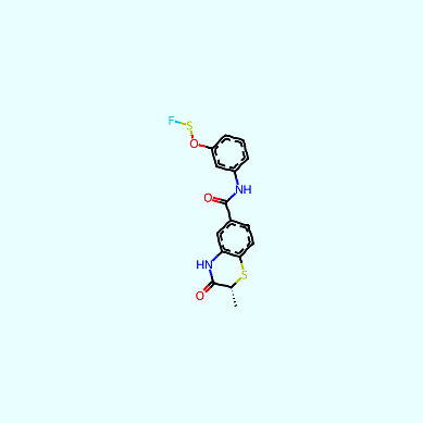 C[C@H]1Sc2ccc(C(=O)Nc3cccc(OSF)c3)cc2NC1=O